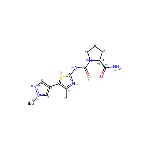 CCC(C)n1cc(-c2sc(NC(=O)N3CCC[C@H]3C(N)=O)nc2C)cn1